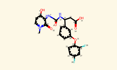 Cn1ccc(O)c(NC(=O)NC(CC(=O)O)c2cccc(Oc3ccc(F)cc3F)c2)c1=O